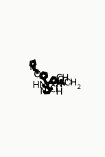 C=CC(=O)Nc1cc(-c2c(-c3cccc(OCCN4CCCC4)c3)[nH]c3nccc(Cl)c23)ccc1C